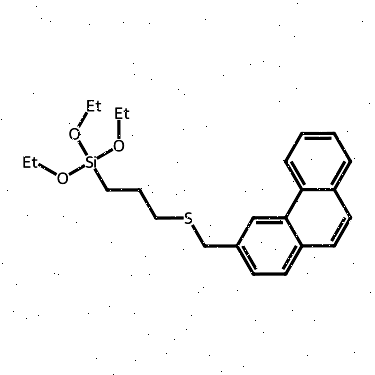 CCO[Si](CCCSCc1ccc2ccc3ccccc3c2c1)(OCC)OCC